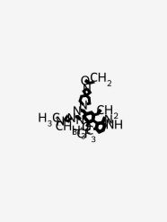 C=CC(=O)N1CC2(CCN(c3nc(N4CC(N(C)C)C4)nc4c(OCC(F)(F)F)c(-c5c(C)ccc6[nH]ncc56)c(C=C)cc34)CC2)C1